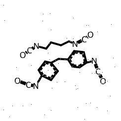 O=C=NCCCCN=C=O.O=C=Nc1ccc(Cc2ccc(N=C=O)cc2)cc1